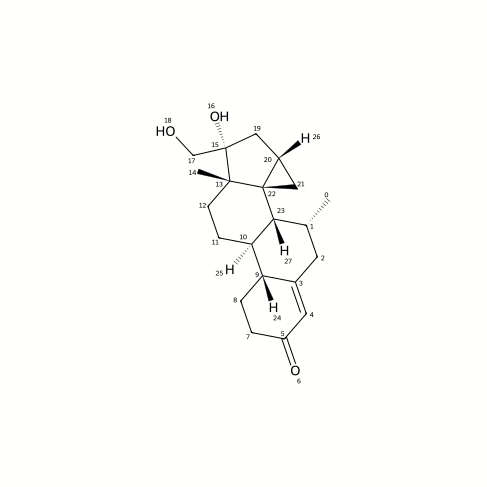 C[C@@H]1CC2=CC(=O)CC[C@@H]2[C@H]2CC[C@]3(C)[C@@](O)(CO)C[C@@H]4C[C@]43[C@@H]21